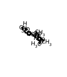 COc1cc2nc(COc3ccc(CC4SC(=O)NC4=O)cc3)n(OC)c(=O)c2cc1OC